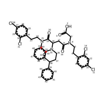 O=C(O)CN(CCc1ccc(Cl)cc1Cl)C(=O)CC1C(=O)N(CCc2ccc(Cl)cc2Cl)CC(=O)N1CCC(c1ccccc1)c1ccccc1